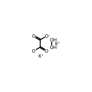 O=C([O-])C(=O)[O-].OO.[K+].[K+]